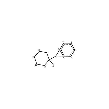 CC1([C]2c3ccccc32)CCCCC1